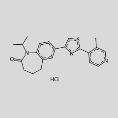 Cc1cnccc1-c1nc(-c2ccc3c(c2)CCCC(=O)N3C(C)C)cs1.Cl